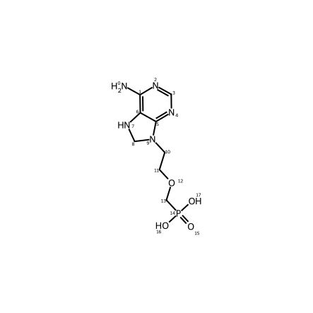 Nc1ncnc2c1NCN2CCOCP(=O)(O)O